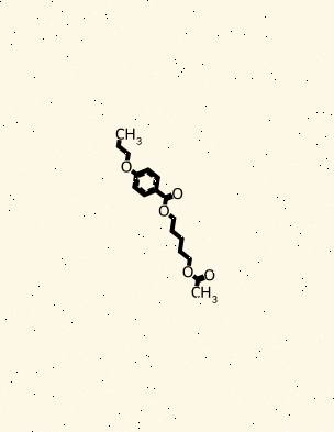 CCCOc1ccc(C(=O)OCCCCCOC(C)=O)cc1